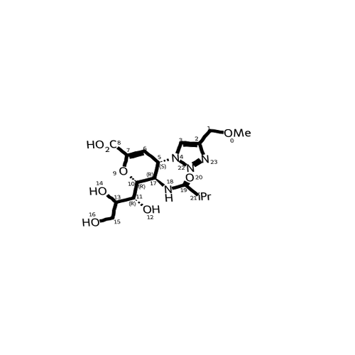 COCc1cn([C@H]2C=C(C(=O)O)O[C@@H]([C@H](O)C(O)CO)[C@@H]2NC(=O)C(C)C)nn1